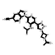 CC(=O)N1CC(n2cc(-c3cnc(-n4ncc5cc(C#N)cnc54)cc3NC(C)C)nn2)C1